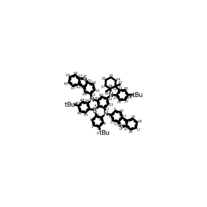 CC(C)(C)c1ccc2c(c1)N(c1ccc3c(c1)sc1ccccc13)c1cc(N3c4ccc(C(C)(C)C)cc4C4(C)CCCCC34C)cc3c1B2c1ccc(C(C)(C)C)cc1N3c1ccc2sc3ccccc3c2c1